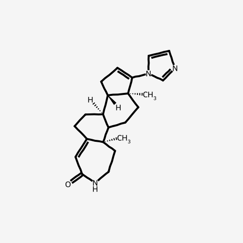 C[C@]12CCNC(=O)C=C1CC[C@@H]1C2CC[C@]2(C)C(n3ccnc3)=CC[C@@H]12